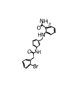 NC(=O)c1ccccc1NCc1cccc(NC(=O)Cc2ccccc2Br)c1